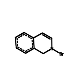 BrN1C=Cc2ccccc2C1